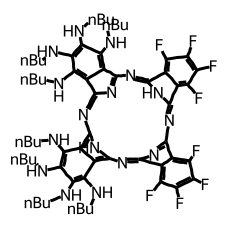 CCCCNc1c(NCCCC)c(NCCCC)c2c(c1NCCCC)-c1nc-2nc2[nH]c(nc3nc(nc4[nH]c(n1)c1c(F)c(F)c(F)c(F)c41)-c1c(F)c(F)c(F)c(F)c1-3)c1c(NCCCC)c(NCCCC)c(NCCCC)c(NCCCC)c21